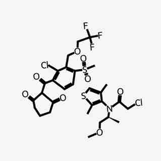 COC[C@H](C)N(C(=O)CCl)c1c(C)csc1C.CS(=O)(=O)c1ccc(C(=O)C2C(=O)CCCC2=O)c(Cl)c1COCC(F)(F)F